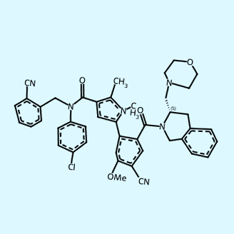 COc1cc(-c2cc(C(=O)N(Cc3ccccc3C#N)c3ccc(Cl)cc3)c(C)n2C)c(C(=O)N2Cc3ccccc3C[C@H]2CN2CCOCC2)cc1C#N